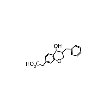 O=C(O)Cc1ccc2c(c1)OCC(Cc1ccccc1)C2O